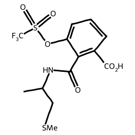 CSCC(C)NC(=O)c1c(OS(=O)(=O)C(F)(F)F)cccc1C(=O)O